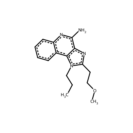 CCCn1c(CCOC)nc2c(N)nc3ccccc3c21